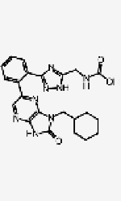 O=C(O)NCc1nc(-c2ccccc2-c2cnc3[nH]c(=O)n(CC4CCCCC4)c3n2)n[nH]1